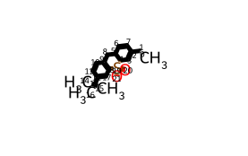 CCC1=CC2C(C=C1)Cc1ccc(C(C)(C)C)cc1S2(=O)=O